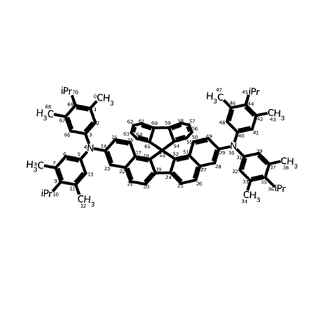 Cc1cc(N(c2cc(C)c(C(C)C)c(C)c2)c2ccc3c4c(ccc3c2)-c2ccc3cc(N(c5cc(C)c(C(C)C)c(C)c5)c5cc(C)c(C(C)C)c(C)c5)ccc3c2C42c3ccccc3-c3ccccc32)cc(C)c1C(C)C